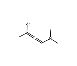 CC(=O)C(C)=C=CN(C)C